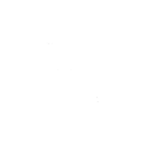 CCCCCCCC/C=C/CCC(C)=O